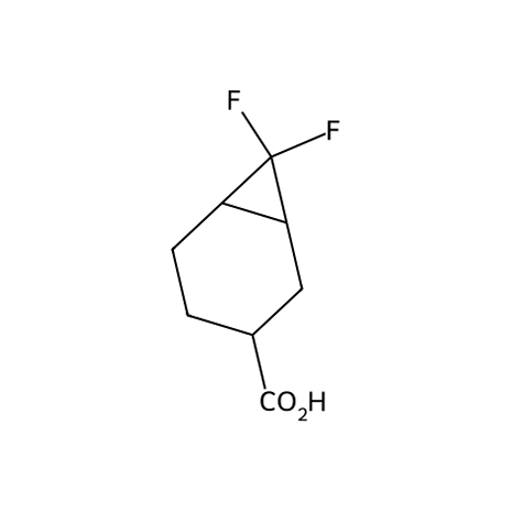 O=C(O)C1CCC2C(C1)C2(F)F